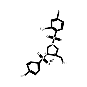 N#Cc1ccc(S(=O)(=O)[C@H]2CN(S(=O)(=O)c3ccc(Cl)cc3C(F)(F)F)C[C@@]2(O)CO)cc1